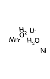 O.O.[Li].[Mn].[Ni]